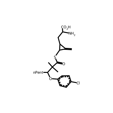 C=C1C(CC(N)C(=O)O)C1SC(=O)C(C)(C)C(CCCCC)Oc1ccc(Cl)cc1